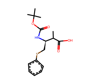 CC(C(=O)O)[C@@H](CSc1ccccc1)NC(=O)OC(C)(C)C